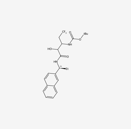 CC[C@H](NC(=O)C(O)C(CC(F)(F)F)NC(=O)OC(C)(C)C)c1ccc2ccccc2c1